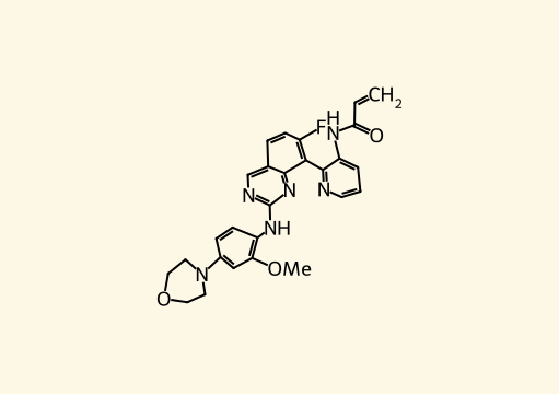 C=CC(=O)Nc1cccnc1-c1c(F)ccc2cnc(Nc3ccc(N4CCOCC4)cc3OC)nc12